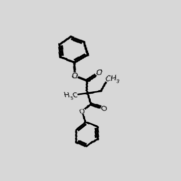 CCC(C)(C(=O)Oc1ccccc1)C(=O)Oc1ccccc1